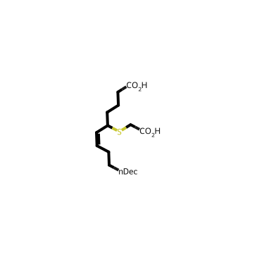 CCCCCCCCCCCC/C=C\C(CCCC(=O)O)SCC(=O)O